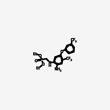 CCOP(=O)(CNc1cc(Oc2cccc(C(F)(F)F)c2)c(C(F)(F)F)cc1N)OCC